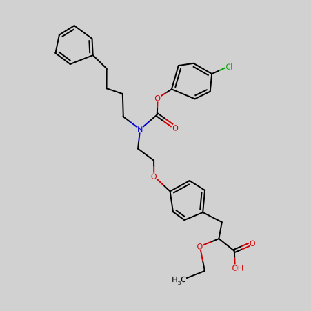 CCOC(Cc1ccc(OCCN(CCCCc2ccccc2)C(=O)Oc2ccc(Cl)cc2)cc1)C(=O)O